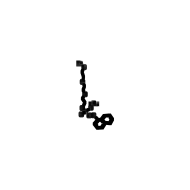 CCCCOP(=O)(OCCOCCOCCOCC)OOc1cccc2ccccc12